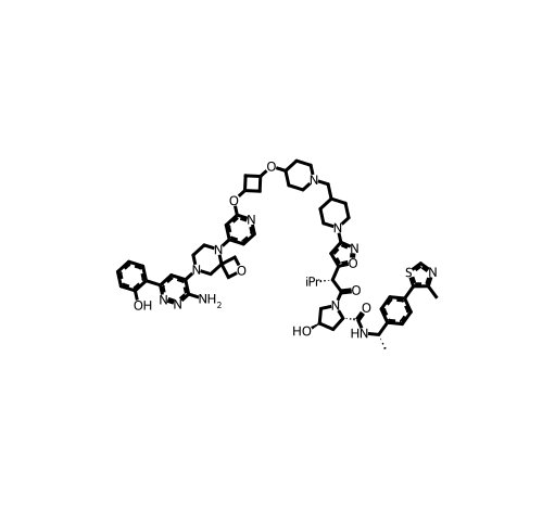 Cc1ncsc1-c1ccc([C@H](C)NC(=O)[C@@H]2C[C@@H](O)CN2C(=O)[C@@H](c2cc(N3CCC(CN4CCC(OC5CC(Oc6cc(N7CCN(c8cc(-c9ccccc9O)nnc8N)CC78COC8)ccn6)C5)CC4)CC3)no2)C(C)C)cc1